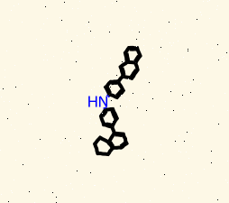 c1cc2c(c(-c3ccc(Nc4ccc(-c5ccc6ccccc6c5)cc4)cc3)c1)CCCC2